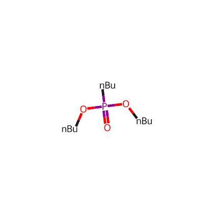 [CH2]CCCP(=O)(OCCCC)OCCCC